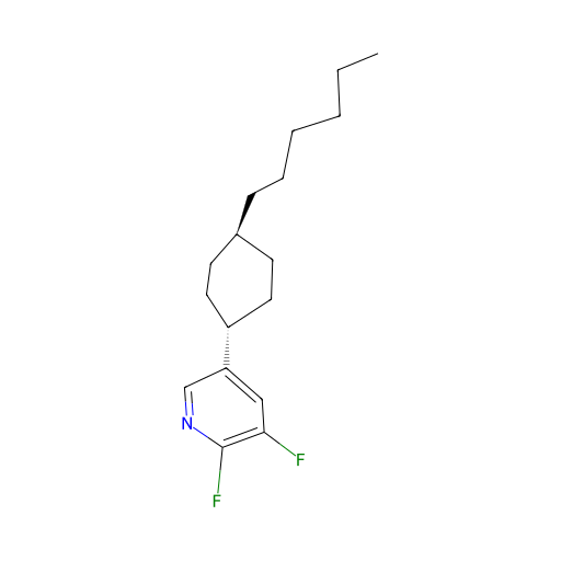 CCCCCC[C@H]1CC[C@H](c2cnc(F)c(F)c2)CC1